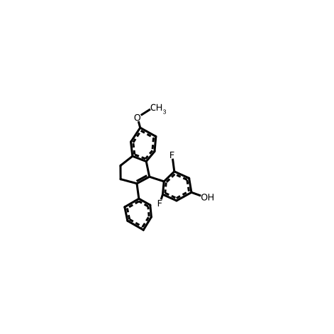 COc1ccc2c(c1)CCC(c1ccccc1)=C2c1c(F)cc(O)cc1F